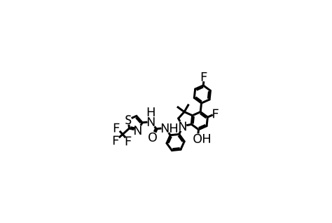 CC1(C)CN(c2ccccc2NC(=O)Nc2csc(C(F)(F)F)n2)c2c(O)cc(F)c(-c3ccc(F)cc3)c21